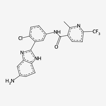 Cc1nc(C(F)(F)F)ccc1C(=O)Nc1ccc(Cl)c(-c2nc3cc(N)ccc3[nH]2)c1